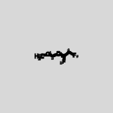 CO[CH]OC(F)CF